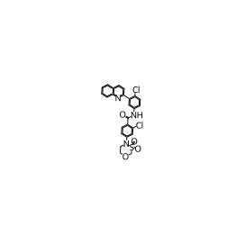 O=C(Nc1ccc(Cl)c(-c2ccc3ccccc3n2)c1)c1ccc(N2CCOCS2(=O)=O)cc1Cl